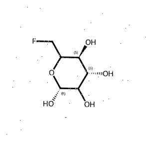 OC1[C@H](O)OC(CF)[C@@H](O)[C@@H]1O